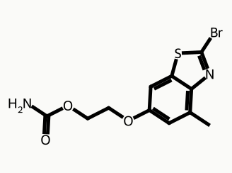 Cc1cc(OCCOC(N)=O)cc2sc(Br)nc12